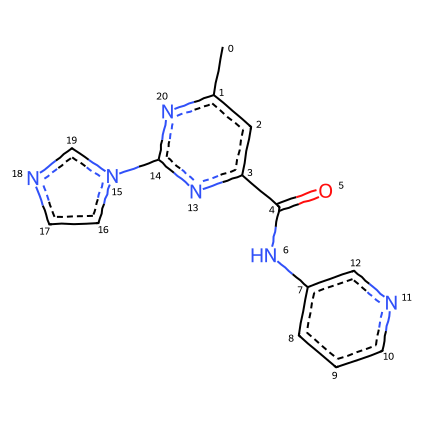 Cc1cc(C(=O)Nc2cccnc2)nc(-n2ccnc2)n1